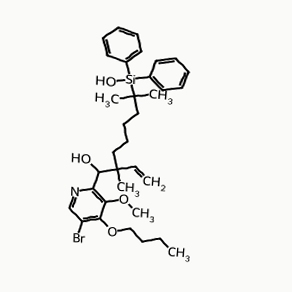 C=CC(C)(CCCCC(C)(C)[Si](O)(c1ccccc1)c1ccccc1)C(O)c1ncc(Br)c(OCCCC)c1OC